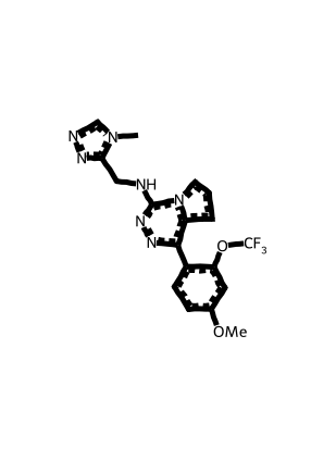 COc1ccc(-c2nnc(NCc3nncn3C)n3cccc23)c(OC(F)(F)F)c1